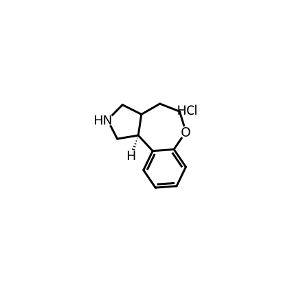 Cl.c1ccc2c(c1)OCCC1CNC[C@H]21